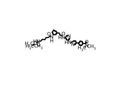 CN(C)C(=O)c1ccc(-c2ccc(Nc3cncc(NC(=O)CCc4cccc(NC(=O)CCCCCNC(=O)OC(C)(C)C)c4)c3)nc2)cc1